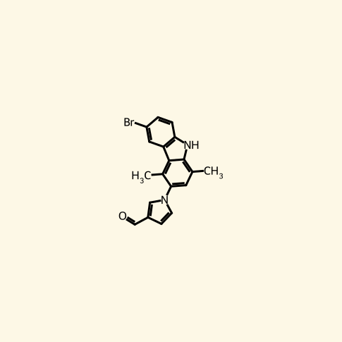 Cc1cc(-n2ccc(C=O)c2)c(C)c2c1[nH]c1ccc(Br)cc12